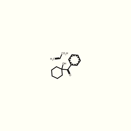 C=CC(=O)O.O=C(c1ccccc1)C1(O)CCCCC1